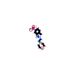 O=[N+]([O-])c1ccc2cn(CCN3CCOCC3)nc2c1